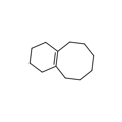 [CH]1CCC2=C(C1)CCCCCC2